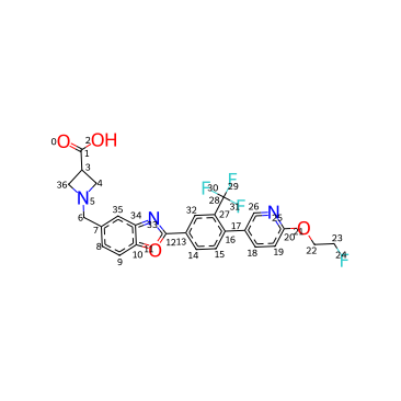 O=C(O)C1CN(Cc2ccc3oc(-c4ccc(-c5ccc(OCCF)nc5)c(C(F)(F)F)c4)nc3c2)C1